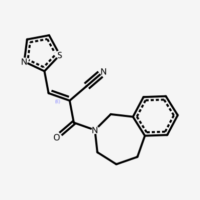 N#C/C(=C\c1nccs1)C(=O)N1CCCc2ccccc2C1